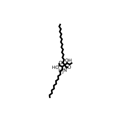 CCCCCCCCCCCCCCCC(=O)C(C(N)=O)(C(O)CC)C(CCCCCCCCCCCCC)C(C)O